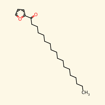 CCCCCCCCCCCCCCCCCC(=O)c1ccco1